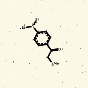 CCN(CC)c1ccc(C(=O)CSC)cc1